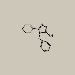 Sc1nnc(C2=CCCC=C2)n1Cc1ccccc1